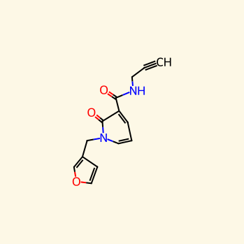 C#CCNC(=O)c1cccn(Cc2ccoc2)c1=O